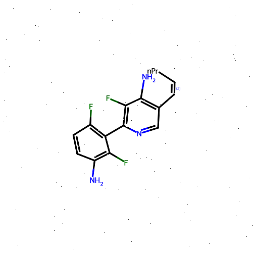 CCC/C=C\c1cnc(-c2c(F)ccc(N)c2F)c(F)c1N